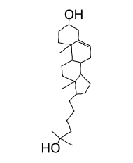 CC(C)(O)CCCCC1CCC2C3CC=C4CC(O)CCC4(C)C3CCC12C